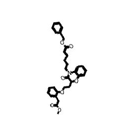 COC(=O)Cc1ccccc1OCCC1Oc2ccccc2N(CCCCCC(=O)OCc2ccccc2)C1=O